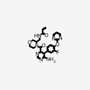 C=CC(=O)NCC1COCCN1C(=O)c1ncnc(N)c1-c1ccc(Oc2ncccn2)c(F)c1